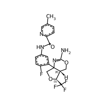 Cc1ccc(C(=O)Nc2ccc(F)c(C34CO[C@H](C(F)(F)F)[C@H]3COC(N)=N4)c2)nc1